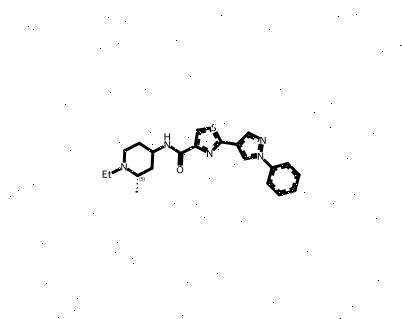 CCN1CCC(NC(=O)c2csc(-c3cnn(-c4ccccc4)c3)n2)C[C@@H]1C